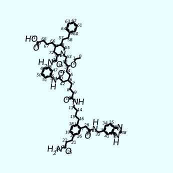 CCOC(CCC(CCCC(=O)NCCCCc1ccc(CCC(N)=O)cc1CC(=O)NCc1ccc2nc[nH]c2c1)CC(=O)Nc1ccccc1)CCN1CC(CCc2ccccc2)C(CCCC(=O)O)CC1C(N)=O